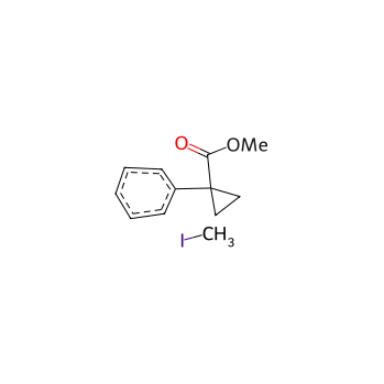 CI.COC(=O)C1(c2ccccc2)CC1